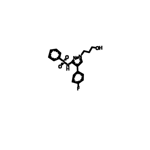 O=S(=O)(Nc1nn(CCCO)cc1-c1ccc(F)cc1)c1ccccc1